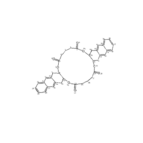 O=C1CCCC(=O)OC2Cc3cc4ccccc4cc3CC2OC(=O)CCCC(=O)OC2Cc3cc4ccccc4cc3CC2O1